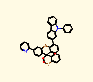 c1ccc(-n2c3ccccc3c3ccc(-c4cccc5c4Sc4cc(-c6ccccn6)ccc4C54c5ccccc5Sc5ccccc54)cc32)cc1